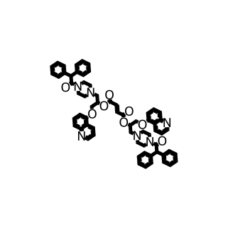 O=C(/C=C/C(=O)OC(COc1cccc2ncccc12)CN1CCN(C(=O)C(c2ccccc2)c2ccccc2)CC1)OC(COc1cccc2ncccc12)CN1CCN(C(=O)C(c2ccccc2)c2ccccc2)CC1